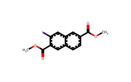 COC(=O)c1ccc2cc(C(=O)OC)c(I)cc2c1